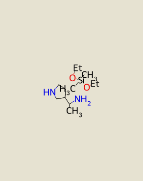 CC(N)C1CCNC1.CCO[Si](C)(C)OCC